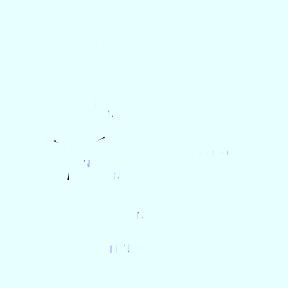 CCOC(=O)Cc1ccc2c(c1)c(NC(=O)N1[C@@H]3C[C@@H]3C[C@H]1C(=O)N(F)Cc1cccc(Cl)c1)cn2C(N)=O